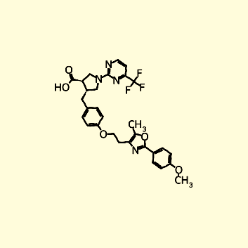 COc1ccc(-c2nc(CCOc3ccc(C[C@@H]4CN(c5nccc(C(F)(F)F)n5)C[C@@H]4C(=O)O)cc3)c(C)o2)cc1